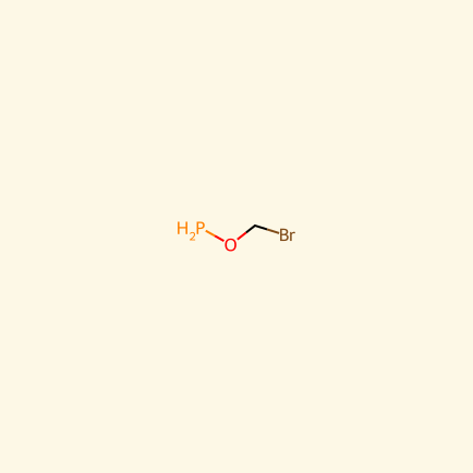 POCBr